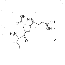 CC[C@H](C)C(N)C(=O)N1C[C@H](CCCB(O)O)[C@](N)(C(=O)O)C1